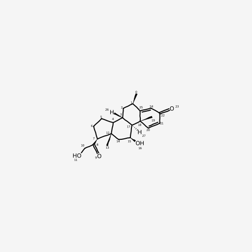 C[C@@H]1C[C@H]2C3CC[C@H](C(=O)CO)[C@@]3(C)C[C@H](O)[C@@H]2[C@@]2(C)C=CC(=O)C=C12